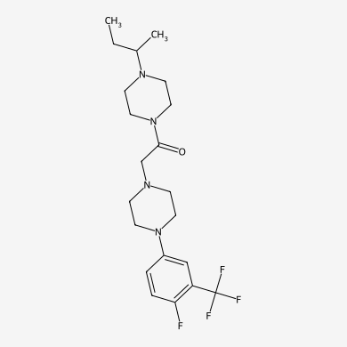 CCC(C)N1CCN(C(=O)CN2CCN(c3ccc(F)c(C(F)(F)F)c3)CC2)CC1